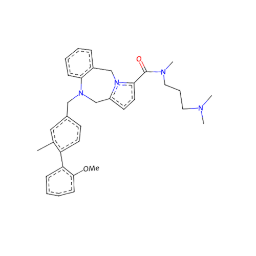 COc1ccccc1-c1ccc(CN2Cc3ccc(C(=O)N(C)CCCN(C)C)n3Cc3ccccc32)cc1C